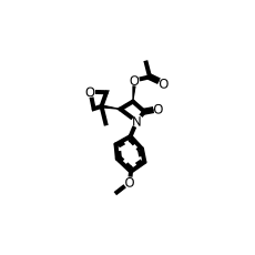 COc1ccc(N2C(=O)[C@H](OC(C)=O)[C@@H]2C2(C)COC2)cc1